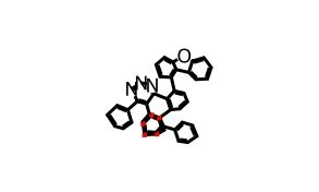 c1ccc(-c2ccccc2-c2cccc(-c3cccc4oc5ccccc5c34)c2-c2nnnc(-c3ccccc3)c2-c2ccccc2)cc1